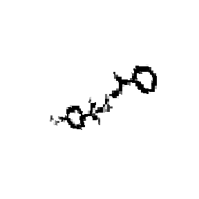 Cc1ccc(S(=O)(=O)NN=CC(=O)c2ccccc2)cc1